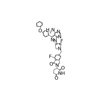 Nc1ncnc2c1c(-c1ccc(Oc3ccccc3)cc1)nn2[C@H]1CCN(Cc2cc(F)c3c(c2)CN(C2CCC(=O)NC2=O)C3=O)C[C@H]1F